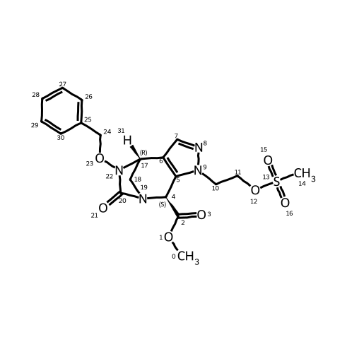 COC(=O)[C@@H]1c2c(cnn2CCOS(C)(=O)=O)[C@@H]2CN1C(=O)N2OCc1ccccc1